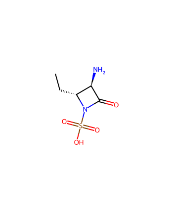 CC[C@@H]1[C@@H](N)C(=O)N1S(=O)(=O)O